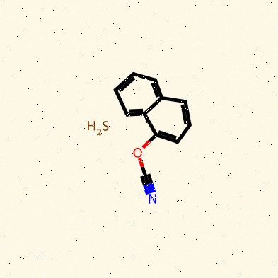 N#COc1cccc2ccccc12.S